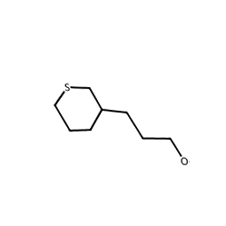 [O]CCCC1CCCSC1